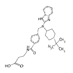 CC(C)(C)C1CCC(N(Cc2ccc(C(=O)NCCC(=O)O)cc2)c2nc3ccccc3[nH]2)CC1